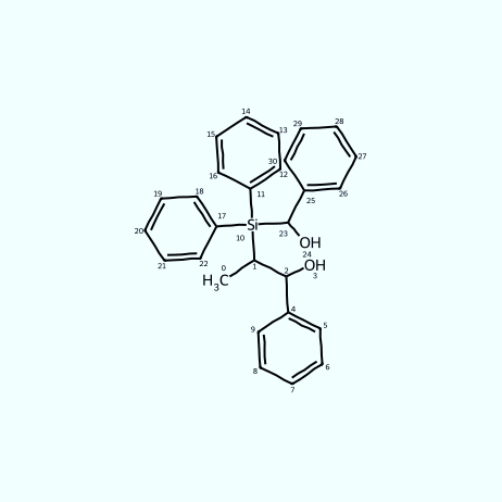 CC(C(O)c1ccccc1)[Si](c1ccccc1)(c1ccccc1)C(O)c1ccccc1